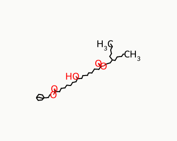 CCCCCC(CCCCC)CCOC(=O)CCCCCCCC(O)CCCCCCCC(=O)OCCC12CCC(CC1)CC2